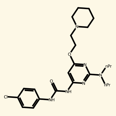 CCCN(CCC)c1nc(NC(=O)Nc2ccc(Cl)cc2)cc(OCCN2CCCCC2)n1